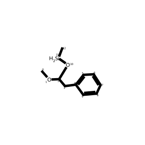 COC(Cc1ccccc1)O[SiH2]C